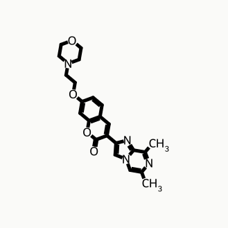 Cc1cn2cc(-c3cc4ccc(OCCN5CCOCC5)cc4oc3=O)nc2c(C)n1